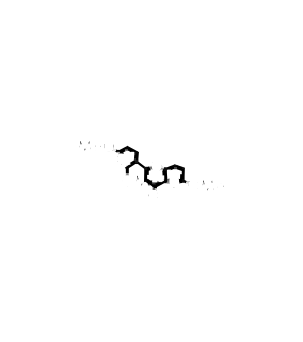 COc1ccc(-c2cc(=O)c3cc(OC)ccc3o2)c(OC)c1